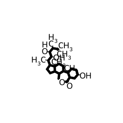 CC(C)[C@H](C)[C@@H](O)[C@H](O)[C@@H](C)C1CCC2C3COC(=O)C4C[C@@H](O)CC[C@]4(C)C3CC[C@@]21C